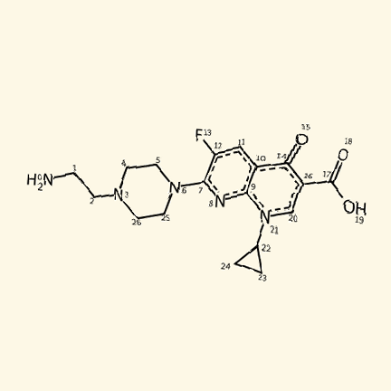 NCCN1CCN(c2nc3c(cc2F)c(=O)c(C(=O)O)cn3C2CC2)CC1